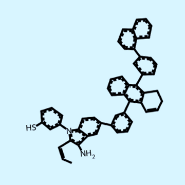 C/C=C\c1c(N)c2cc(-c3cccc(-c4c5c(c(-c6cccc(-c7cccc8ccccc78)c6)c6ccccc46)CCC=C5)c3)ccc2n1-c1cccc(S)c1